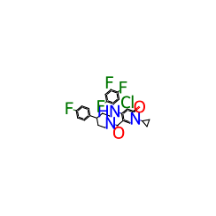 O=C(c1cn(C2CC2)c(=O)c(Cl)c1Nc1cc(F)c(F)cc1F)N1CCC(c2ccc(F)cc2)CC1